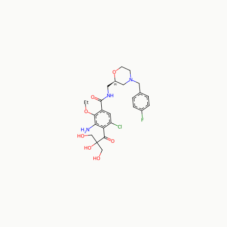 CCOc1c(C(=O)NC[C@@H]2CN(Cc3ccc(F)cc3)CCO2)cc(Cl)c(C(=O)C(O)(CO)CO)c1N